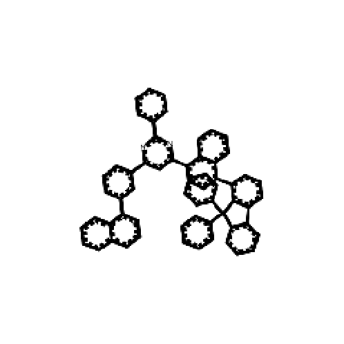 c1ccc(-c2nc(-c3cccc(-c4cccc5ccccc45)c3)cc(-c3ccc(-c4cccc5c4C(c4ccccc4)(c4ccccc4)c4ccccc4-5)c4ccccc34)n2)cc1